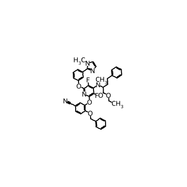 CCOC(=O)C(CCc1ccccc1)N(C)c1c(F)c(Oc2cccc(-c3nccn3C)c2)nc(Oc2cc(C#N)ccc2OCc2ccccc2)c1F